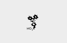 CC(OC(c1ccccc1)c1ccccc1)N1CCC(=CC(=O)O)CC1